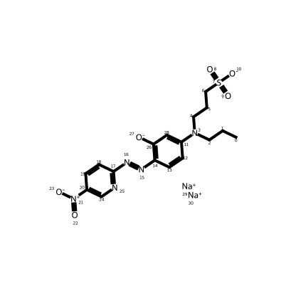 CCCN(CCCS(=O)(=O)[O-])c1ccc(N=Nc2ccc([N+](=O)[O-])cn2)c([O-])c1.[Na+].[Na+]